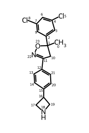 CC1(c2cc(Cl)cc(Cl)c2)CC(c2ccc(C3CNC3)cc2)=NO1